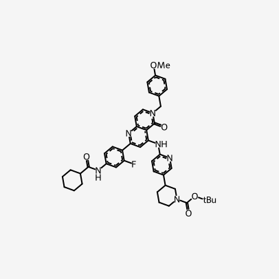 COc1ccc(Cn2ccc3nc(-c4ccc(NC(=O)C5CCCCC5)cc4F)cc(Nc4ccc(C5CCCN(C(=O)OC(C)(C)C)C5)cn4)c3c2=O)cc1